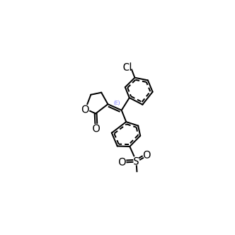 CS(=O)(=O)c1ccc(/C(=C2/CCOC2=O)c2cccc(Cl)c2)cc1